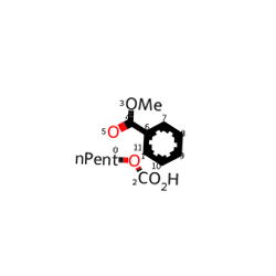 CCCCCOC(=O)O.COC(=O)c1ccccc1